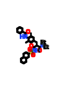 CCN(CC)C(=O)C(Cc1cc(C)c(NC(=O)c2ccccc2)c(C)c1)C(=O)NS(=O)(=O)c1ccc2ccccc2c1